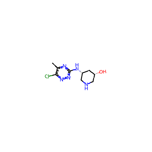 Cc1nc(N[C@H]2CNC[C@@H](O)C2)nnc1Cl